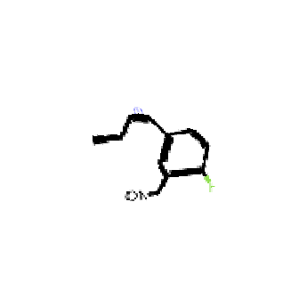 C=C/C=C\c1ccc(F)c(CN=O)c1